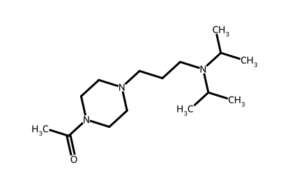 CC(=O)N1CCN(CCCN(C(C)C)C(C)C)CC1